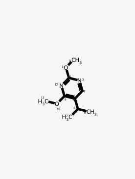 COc1ncc(C(C)C)c(OC)n1